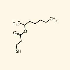 CCCCCC(C)OC(=O)CCS